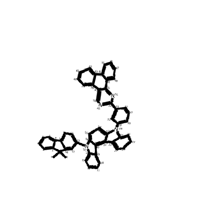 CC1(C)c2ccccc2-c2ccc(-n3c4ccccc4c4c5c6ccccc6n(-c6cccc(-c7ncc8c9ccccc9c9ccccc9c8n7)c6)c5ccc43)cc21